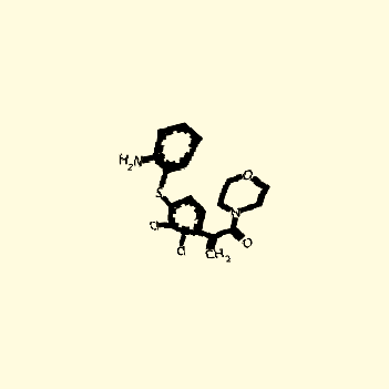 C=C(C(=O)N1CCOCC1)c1ccc(Sc2ccccc2N)c(Cl)c1Cl